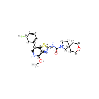 COc1ncc(C2=CC=CC(F)C2)c2sc(NC(=O)N3CCC4(CCOCC4)C3)nc12